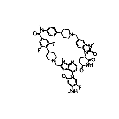 CNc1cc(=O)n(-c2ccnc3c2cc(CN2CCC(c4c(F)cc(C(=O)N(C)c5ccc(C6CCN(Cc7ccc8c(c7)n(C)c(=O)n8C7CCC(=O)NC7=O)CC6)cc5)cc4F)CC2)n3C)cc1F